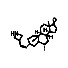 C[C@H]1C[C@@H]2[C@H](CC[C@]3(C)C(=O)CC[C@@H]23)[C@@]2(C)CC[C@@H](/C=C\C3CNC3)CC12